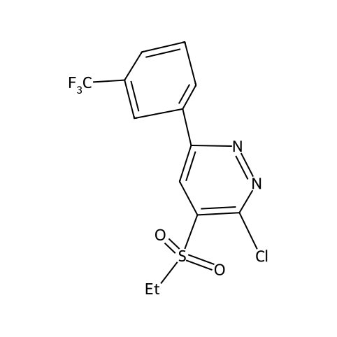 CCS(=O)(=O)c1cc(-c2cccc(C(F)(F)F)c2)nnc1Cl